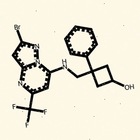 OC1CC(CNc2cc(C(F)(F)F)nc3cc(Br)nn23)(c2ccccc2)C1